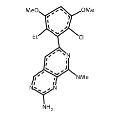 CCc1c(OC)cc(OC)c(Cl)c1-c1cc2cnc(N)nc2c(NC)n1